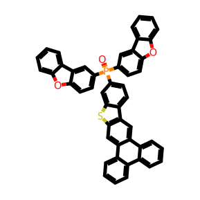 O=P(c1ccc2c(c1)sc1cc3c4ccccc4c4ccccc4c3cc12)(c1ccc2oc3ccccc3c2c1)c1ccc2oc3ccccc3c2c1